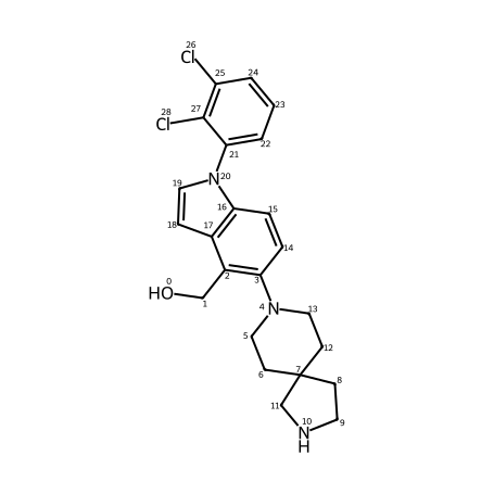 OCc1c(N2CCC3(CCNC3)CC2)ccc2c1ccn2-c1cccc(Cl)c1Cl